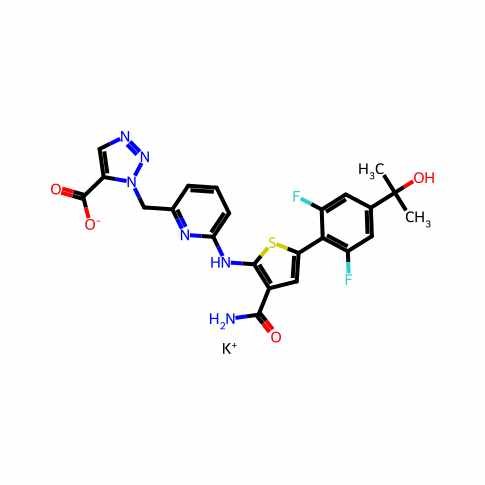 CC(C)(O)c1cc(F)c(-c2cc(C(N)=O)c(Nc3cccc(Cn4nncc4C(=O)[O-])n3)s2)c(F)c1.[K+]